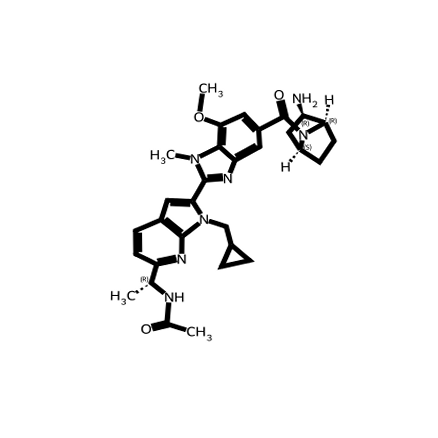 COc1cc(C(=O)N2[C@H]3CC[C@@H]2[C@H](N)C3)cc2nc(-c3cc4ccc([C@@H](C)NC(C)=O)nc4n3CC3CC3)n(C)c12